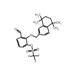 CC1(C)CCC(C)(C)c2cc(COc3c(C=O)cccc3OS(=O)(=O)C(F)(F)F)ccc21